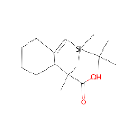 CC(C)(C(=O)O)C1CCCC/C1=C/[Si](C)(C)C(C)(C)C